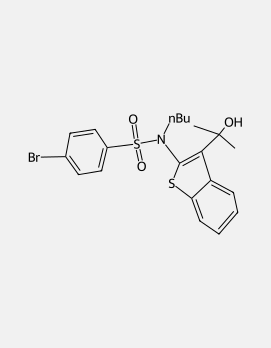 CCCCN(c1sc2ccccc2c1C(C)(C)O)S(=O)(=O)c1ccc(Br)cc1